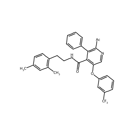 CC(=O)c1ncc(Oc2cccc(C(F)(F)F)c2)c(C(=O)NCCc2ccc(C)cc2C)c1-c1ccccc1